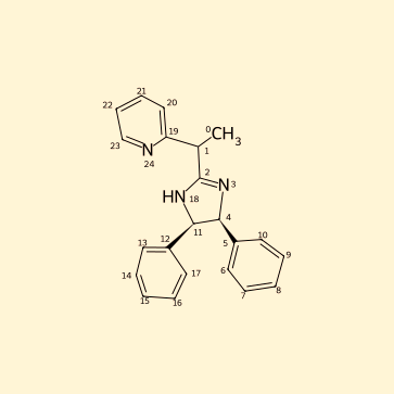 CC(C1=N[C@@H](c2ccccc2)[C@@H](c2ccccc2)N1)c1ccccn1